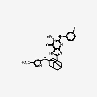 CCCn1c(Nc2cccc(F)c2)nc2nc(C34CC5CC(CC(Oc6ncc(C(=O)O)s6)(C5)C3)C4)[nH]c2c1=O